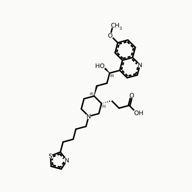 COc1ccc2nccc([C@H](O)CC[C@@H]3CCN(CCCCc4nccs4)C[C@H]3CCC(=O)O)c2c1